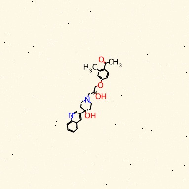 CC(=O)c1ccc(OC[C@@H](O)CN2CCC(O)(c3cnc4ccccc4c3)CC2)cc1C